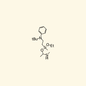 CCO[Si](C)(CCN(c1ccccc1)C(C)(C)C)OC(C)[SiH](C)C